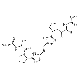 COC(=O)NC(C(=O)N1CCCC1c1ncc(/C=C/c2cnc([C@H]3CCCN3C(=O)C(NC(=O)OC)C(C)C)[nH]2)[nH]1)C(C)C